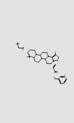 CC(C)C1=C2[C@H]3CC[C@@H]4[C@@]5(C)CC[C@H](OC(=O)CC(C)(C)C(=O)O)C(C)(C)[C@@H]5CC[C@@]4(C)[C@]3(C)CC[C@@]2(C=CC(=O)N[C@@H](C)c2cccc(Cl)c2)CC1